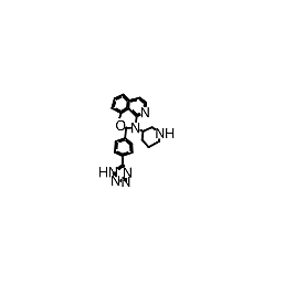 Cc1cccc2ccnc(N(C(=O)c3ccc(-c4nnn[nH]4)cc3)C3CCCNC3)c12